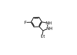 CCC1NNc2ccc(F)cc21